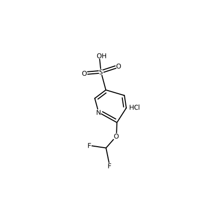 Cl.O=S(=O)(O)c1ccc(OC(F)F)nc1